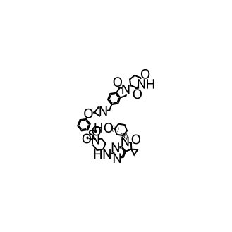 O=C1CCC(N2Cc3cc(CN4CC(Oc5cccc(S(=O)(=O)N6CCC(Nc7ncc8c(n7)N([C@@H]7CCC[C@@H](O)C7)C(=O)C87CC7)CC6)c5)C4)ccc3C2=O)C(=O)N1